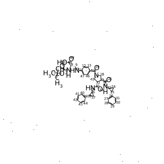 CC(C)(C)OC(=O)N[C@@H](CNc1ccc(C(=O)N2C[C@@H](C(=O)N[C@H]3C[C@@H]3c3ccccc3)[C@H](C(=O)N[C@H]3C[C@@H]3c3ccccc3)C2)cc1)C(=O)O